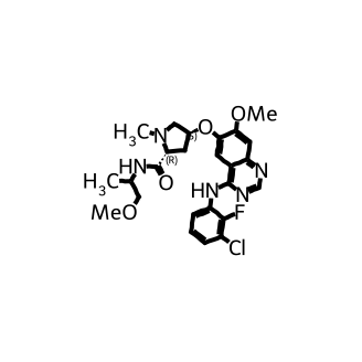 COCC(C)NC(=O)[C@H]1C[C@H](Oc2cc3c(Nc4cccc(Cl)c4F)ncnc3cc2OC)CN1C